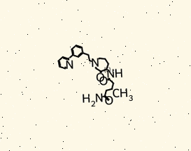 CC(CC(N)=O)CC(=O)N[C@H]1CCCN(CCc2cccc(-c3ccccn3)c2)CC1=O